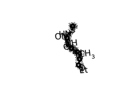 CCOc1cccc(-c2ccc(C(C)N3CCN(c4ccc(C(=O)NSc5ccc(NCCSc6ccccc6)c(N=O)c5)cc4)CC3)cc2)c1